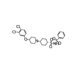 O=S(=O)(NS(=O)(=O)[C@H]1CC[C@H](N2CCC(Oc3ccc(Cl)c(Cl)c3)CC2)CC1)c1ccccc1